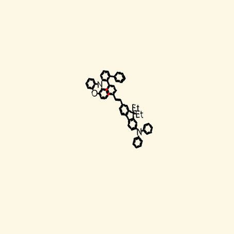 CCC1(CC)c2cc(/C=C/c3ccc(-c4c(-c5ccccc5)cccc4N4c5ccccc5Oc5ccccc54)cc3)ccc2-c2ccc(N(c3ccccc3)c3ccccc3)cc21